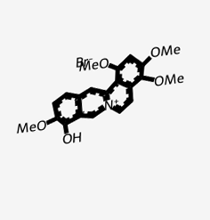 COc1ccc2cc3c4c(OC)cc(OC)c(OC)c4cc[n+]3cc2c1O.[Br-]